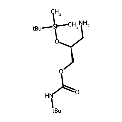 CC(C)(C)NC(=O)OC[C@H](CN)O[Si](C)(C)C(C)(C)C